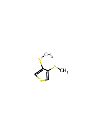 CSc1cscc1SC